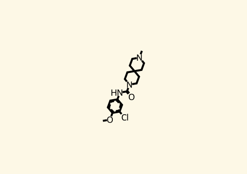 COc1ccc(NC(=O)N2CCC3(CCN(C)CC3)CC2)cc1Cl